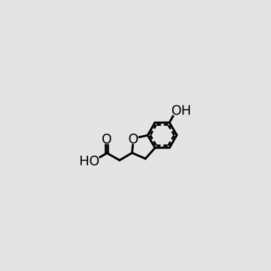 O=C(O)CC1Cc2ccc(O)cc2O1